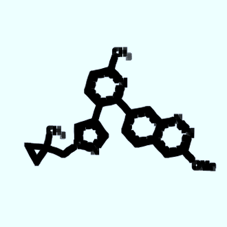 COc1cc2ccc(-c3nc(C)ccc3-c3cnn(CC4(C)CC4)c3)cc2nn1